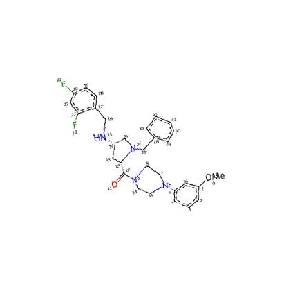 COc1cccc(N2CCN(C(=O)[C@@H]3C[C@H](NCc4ccc(F)cc4F)CN3Cc3ccccc3)CC2)c1